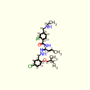 C/C=C/C(=N\NCc1cc(Cl)ccc1OCC(C)C)NC(=O)c1ccc(CNCC)cc1F